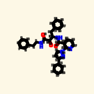 O=C(NCCc1ccccc1)C(=O)C(Cc1ccccc1)NC(=O)c1cccnc1-n1ccc(-c2ccccc2)n1